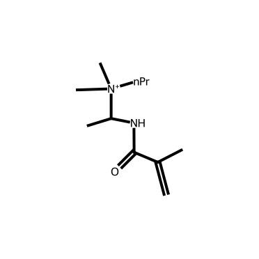 C=C(C)C(=O)NC(C)[N+](C)(C)CCC